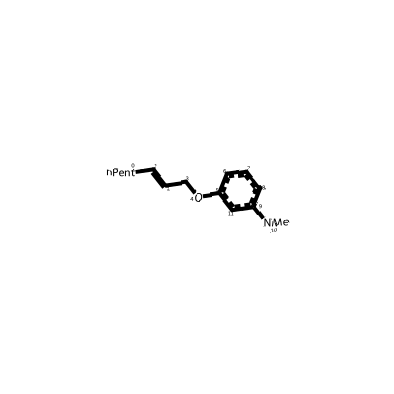 CCCCC/C=C/COc1cccc(NC)c1